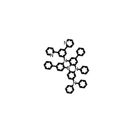 c1ccc(-c2ccc3c(c2)N(c2cc(-c4ccccn4)cc(-c4ccccn4)c2)c2cc(-c4ccccc4)cc4c2B3c2ccc(N(c3ccccc3)c3ccccc3)cc2N4c2ccccc2)cc1